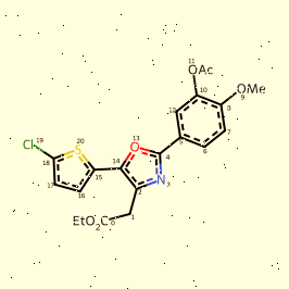 CCOC(=O)Cc1nc(-c2ccc(OC)c(OC(C)=O)c2)oc1-c1ccc(Cl)s1